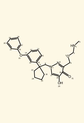 CNCOCc1nn(CC2(c3cccc(Oc4ccccc4)c3)CCCC2)cc(O)c1=O